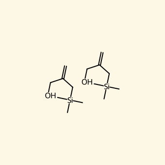 C=C(CO)C[Si](C)(C)C.C=C(CO)C[Si](C)(C)C